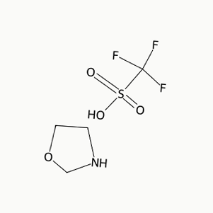 C1COCN1.O=S(=O)(O)C(F)(F)F